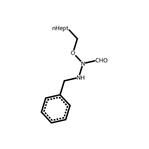 CCCCCCCCON(C=O)NCc1ccccc1